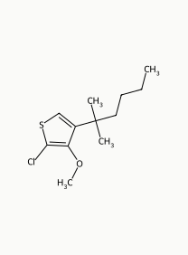 CCCCC(C)(C)c1csc(Cl)c1OC